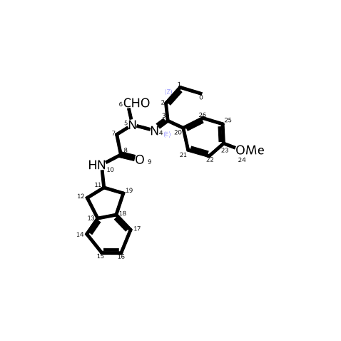 C/C=C\C(=N/N(C=O)CC(=O)NC1Cc2ccccc2C1)c1ccc(OC)cc1